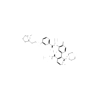 Cc1ccc(-c2c(C(N)=O)ccnc2N2CCOCC2)cc1NC(=O)c1cccc(OCCC2CCCN2C)c1